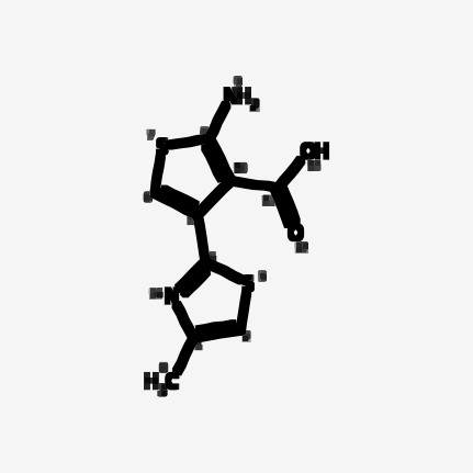 Cc1csc(-c2csc(N)c2C(=O)O)n1